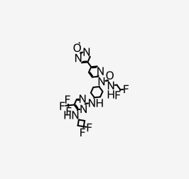 COc1ncc(-c2ccc(N(C(=O)NCC(F)F)[C@H]3CC[C@H](Nc4ncc(C(F)(F)F)c(NC5CC(F)(F)C5)n4)CC3)nc2)cn1